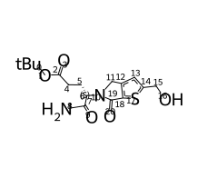 CC(C)(C)OC(=O)CC[C@@H](C(N)=O)N1Cc2cc(CO)sc2C1=O